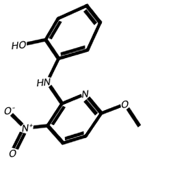 COc1ccc([N+](=O)[O-])c(Nc2ccccc2O)n1